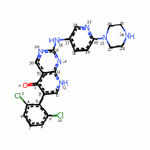 O=c1c(-c2c(Cl)cccc2Cl)c[nH]c2nc(Nc3ccc(N4CCNCC4)nc3)ncc12